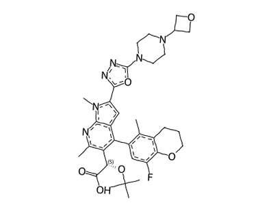 Cc1nc2c(cc(-c3nnc(N4CCN(C5COC5)CC4)o3)n2C)c(-c2cc(F)c3c(c2C)CCCO3)c1[C@H](OC(C)(C)C)C(=O)O